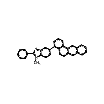 Cn1c(-c2ccccc2)nc2cc(-c3cccc4c3ccc3cc5ccccc5cc34)ccc21